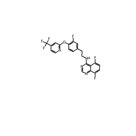 Fc1cc(CCNc2ncnc3c(F)ccc(F)c23)ccc1Oc1cc(C(F)(F)F)ccn1